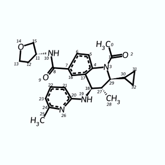 CC(=O)N1c2ccc(C(=O)N[C@@H]3CCOC3)cc2[C@H](Nc2cccc(C)n2)[C@@H](C)[C@@H]1C1CC1